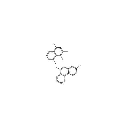 Cc1cc(C)c2cccc(C)c2c1C.Cc1ccc2c(c1)cc(C)c1ccccc12